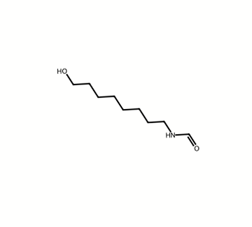 O=CNCCCCCCCCO